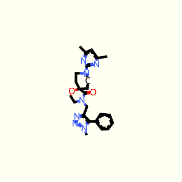 Cc1cc(C)nc(N2CCC3(CC2)OCCN(Cc2nnn(C)c2-c2ccccc2)C3=O)n1